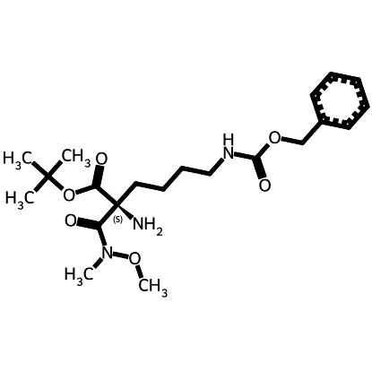 CON(C)C(=O)[C@@](N)(CCCCNC(=O)OCc1ccccc1)C(=O)OC(C)(C)C